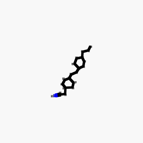 CCCC1CCC(CCC2CCC(CC#N)CC2)CC1